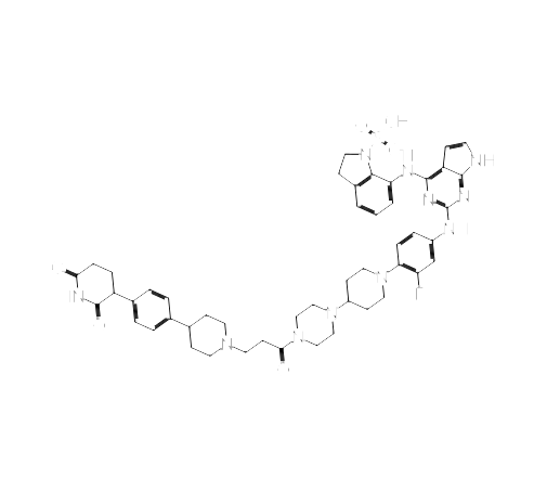 CS(=O)(=O)N1CCc2cccc(Nc3nc(Nc4ccc(N5CCC(N6CCN(C(=O)CCN7CCC(c8ccc(C9CCC(=O)NC9=O)cc8)CC7)CC6)CC5)c(F)c4)nc4[nH]ccc34)c21